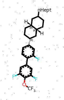 CCCCCCCC1CC[C@@H]2C[C@H](c3ccc(-c4cc(F)c(OC(F)(F)F)c(F)c4)c(F)c3)CC[C@@H]2C1